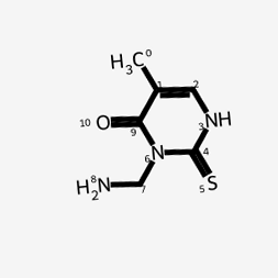 Cc1c[nH]c(=S)n(CN)c1=O